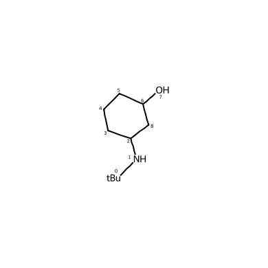 CC(C)(C)NC1CCCC(O)C1